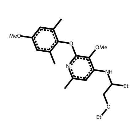 CCOCC(CC)Nc1cc(C)nc(Oc2c(C)cc(OC)cc2C)c1OC